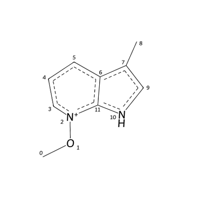 CO[n+]1cccc2c(C)c[nH]c21